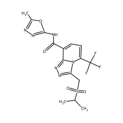 Cc1nnc(NC(=O)c2ccc(C(F)(F)F)n3c(CS(=O)(=O)C(C)C)nnc23)o1